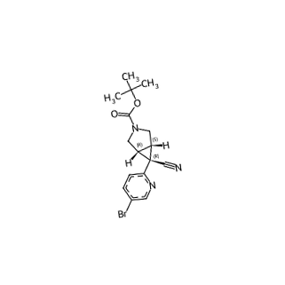 CC(C)(C)OC(=O)N1C[C@@H]2[C@H](C1)[C@]2(C#N)c1ccc(Br)cn1